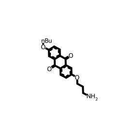 CCCCOc1ccc2c(c1)C(=O)c1ccc(OCCCN)cc1C2=O